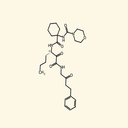 CCCC[C@H](NC(=O)C1(NC(=O)N2CCOCC2)CCCCC1)C(=O)C(=O)NCC(=O)CCc1ccccc1